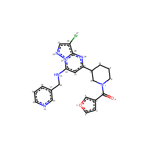 O=C(c1ccoc1)N1CCCC(c2cc(NCc3cccnc3)n3ncc(Br)c3n2)C1